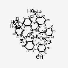 O=S(=O)(O)c1cccc(C2N=C(c3ccccc3S(=O)(=O)c3ccc(O)cc3)N=C(c3ccccc3S(=O)(=O)c3ccc(O)cc3)N2c2cccc(S(=O)(=O)O)c2)c1